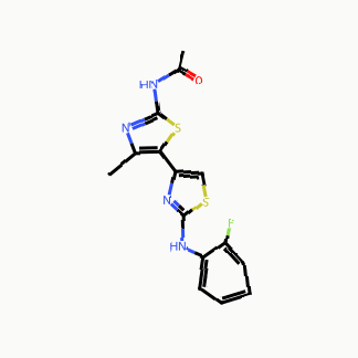 CC(=O)Nc1nc(C)c(-c2csc(Nc3ccccc3F)n2)s1